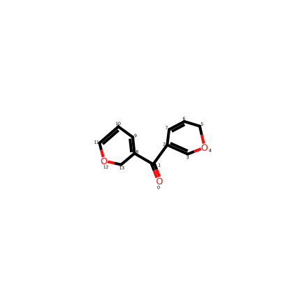 O=C(C1=COCC=C1)C1=CC=COC1